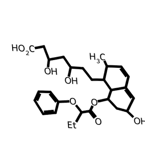 CCC(Oc1ccccc1)C(=O)OC1CC(O)C=C2C=CC(C)C(CCC(O)CC(O)CC(=O)O)C21